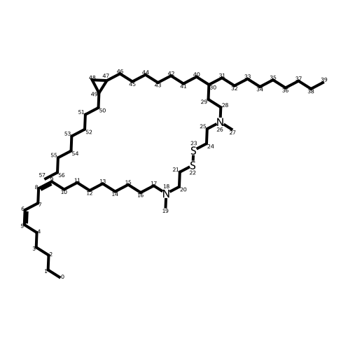 CCCCC/C=C\C/C=C\CCCCCCCCN(C)CCSSCCN(C)CCC(CCCCCCCCC)CCCCCCCC1CC1CCCCCCCC